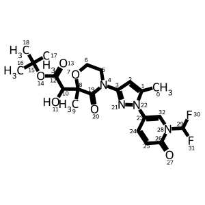 Cc1cc(N2CCOC(C)(C(O)C(=O)OC(C)(C)C)C2=O)nn1-c1ccc(=O)n(C(F)F)c1